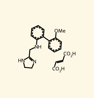 COc1ccccc1-c1ccccc1NCC1=NCCN1.O=C(O)C=CC(=O)O